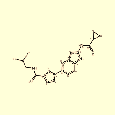 O=C(NCC(F)F)c1ccn(-c2ccc3nc(NC(=O)C4CC4)cn3n2)n1